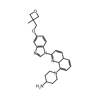 CC1(COc2ccc3c(c2)ncn3C2=NC3C(N4CCC(N)CC4)=CC=CC3C=C2)COC1